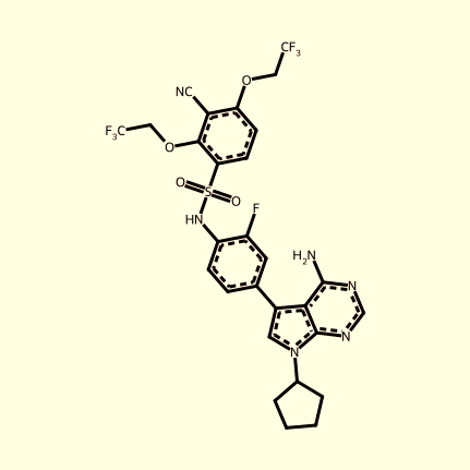 N#Cc1c(OCC(F)(F)F)ccc(S(=O)(=O)Nc2ccc(-c3cn(C4CCCC4)c4ncnc(N)c34)cc2F)c1OCC(F)(F)F